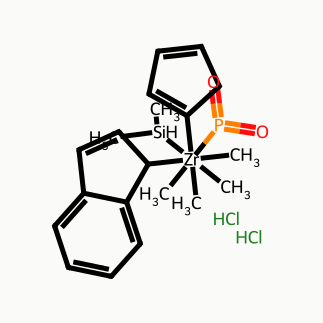 C[SiH](C)[Zr]([CH3])([CH3])([CH3])([CH3])([C]1=CC=CC1)([CH]1C=Cc2ccccc21)[P](=O)=O.Cl.Cl